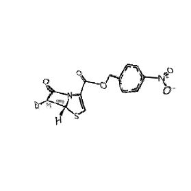 O=C(OCc1ccc([N+](=O)[O-])cc1)C1=CS[C@@H]2[C@@H](Br)C(=O)N12